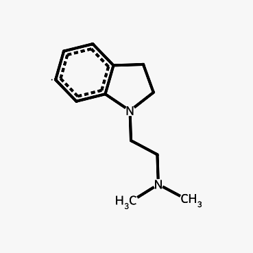 CN(C)CCN1CCc2cc[c]cc21